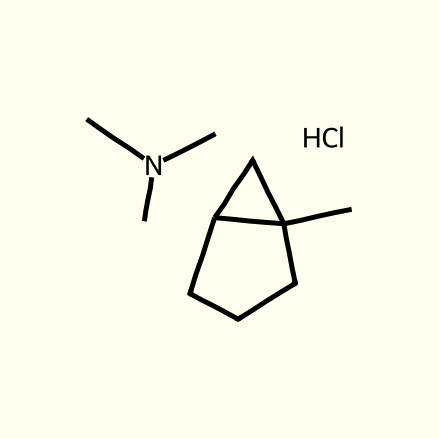 CC12CCCC1C2.CN(C)C.Cl